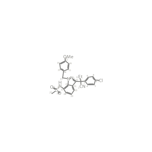 CCC(C#N)(c1ccc(Cl)cc1)c1nn(Cc2ccc(OC)cc2)c2c(NS(C)(=O)=O)cccc12